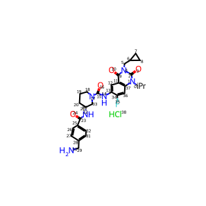 CC(C)n1c(=O)n(CC2CC2)c(=O)c2cc(NC(=O)N3CCC[C@@H](NC(=O)c4ccc(CN)cc4)C3)c(F)cc21.Cl